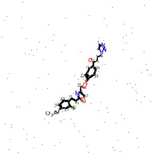 O=C(CCCn1ccnn1)c1ccc(OCc2coc(C=Cc3ccc([N+](=O)[O-])cc3F)n2)cc1